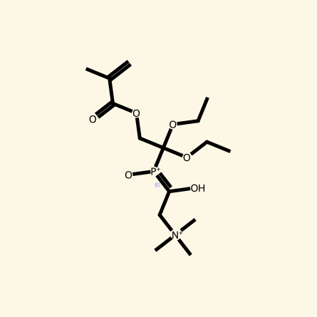 C=C(C)C(=O)OCC(OCC)(OCC)/[P+]([O-])=C(\O)C[N+](C)(C)C